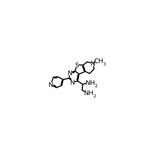 CN1CCc2c(sc3nc(-c4ccncc4)nc(C(N)CN)c23)C1